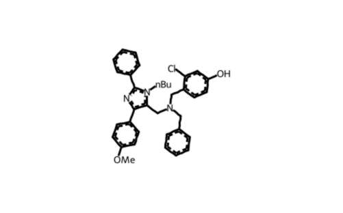 CCCCn1c(-c2ccccc2)nc(-c2ccc(OC)cc2)c1CN(Cc1ccccc1)Cc1ccc(O)cc1Cl